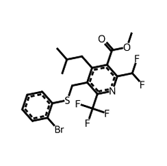 COC(=O)c1c(C(F)F)nc(C(F)(F)F)c(CSc2ccccc2Br)c1CC(C)C